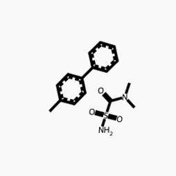 CN(C)C(=O)S(N)(=O)=O.Cc1ccc(-c2ccccc2)cc1